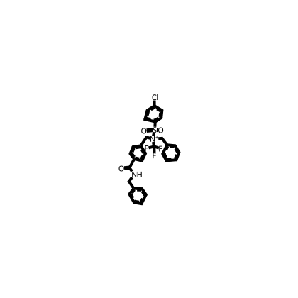 O=C(NCc1ccccc1)c1ccc(C[N+](Cc2ccccc2)(C(F)(F)F)S(=O)(=O)c2ccc(Cl)cc2)cc1